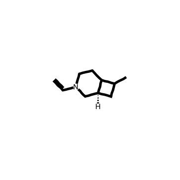 C=CN1CCC2C(C)C[C@H]2C1